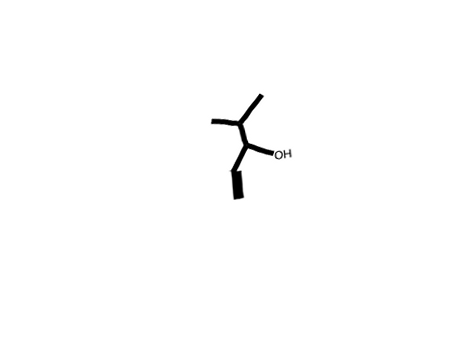 C=[C]C(O)[C](C)C